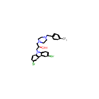 OC(CN1CCN(Cc2ccc(C(F)(F)F)cc2)CC1)Cn1c2ccc(Br)cc2c2cc(Br)ccc21